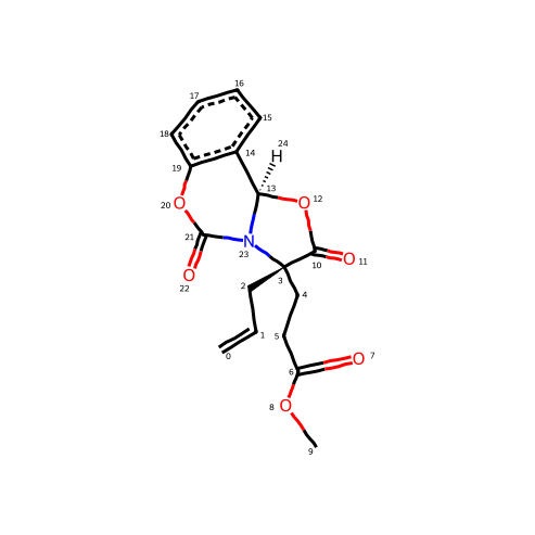 C=CC[C@]1(CCC(=O)OC)C(=O)O[C@@H]2c3ccccc3OC(=O)N21